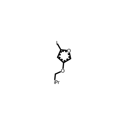 CC(C)COc1coc(I)c1